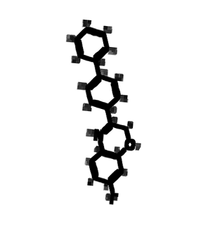 Fc1ccc2c(c1)OCC(c1ccc(-c3ccccc3)cc1)=N2